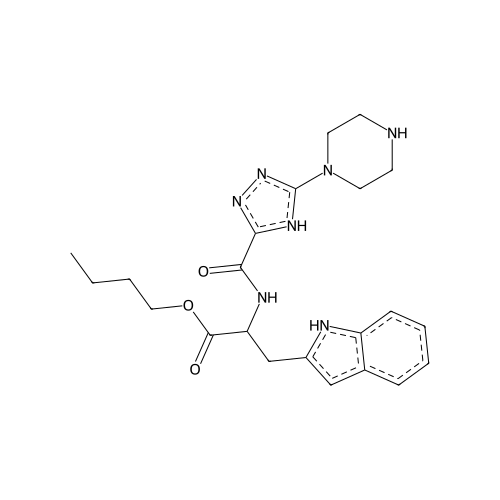 CCCCOC(=O)C(Cc1cc2ccccc2[nH]1)NC(=O)c1nnc(N2CCNCC2)[nH]1